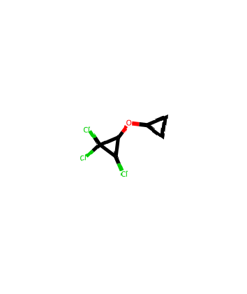 ClC1C(OC2CC2)C1(Cl)Cl